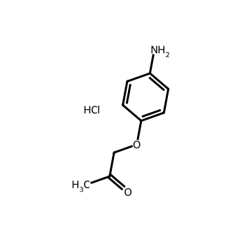 CC(=O)COc1ccc(N)cc1.Cl